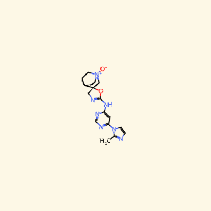 Cc1nccn1-c1cc(NC2=NC[C@@]3(C[N+]4([O-])CCC3CC4)O2)ncn1